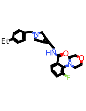 CCc1ccc(CN2CC3C(CNC(=O)c4cccc(F)c4N4CCOCC4)C3C2)cc1